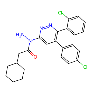 NN(C(=O)CC1CCCCC1)c1cc(-c2ccc(Cl)cc2)c(-c2ccccc2Cl)nn1